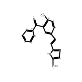 O=Cc1ccc(/C=C/c2ccc([N+](=O)[O-])c(C(=O)c3ccccc3)c2)o1